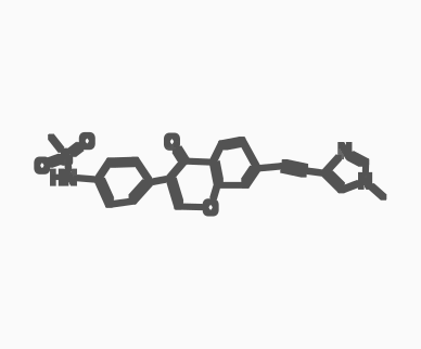 Cn1cnc(C#Cc2ccc3c(=O)c(-c4ccc(NS(C)(=O)=O)cc4)coc3c2)c1